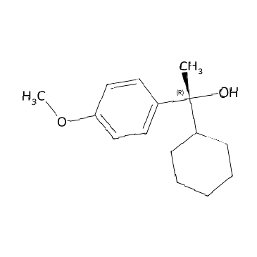 COc1ccc([C@](C)(O)C2CCCCC2)cc1